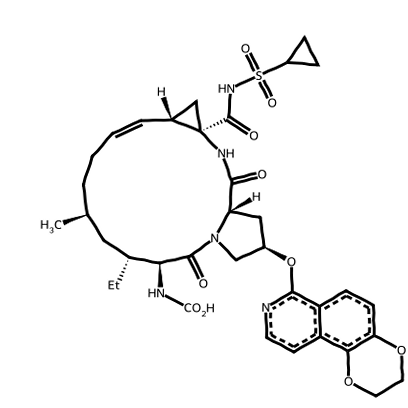 CC[C@@H]1C[C@@H](C)CCC=C[C@@H]2C[C@@]2(C(=O)NS(=O)(=O)C2CC2)NC(=O)[C@@H]2C[C@@H](Oc3nccc4c5c(ccc34)OCCO5)CN2C(=O)[C@H]1NC(=O)O